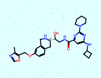 Cc1ncoc1COc1ccc2c(c1)CN[C@H](C(O)CNC(=O)c1cc(NC3CCC3)nc(N3CCCCC3)n1)C2